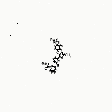 Cc1nc(Oc2ccc(NS(=O)(=O)C(C)C)c(F)c2F)c(-c2ccnc(N[C@@H]3CN(C(=O)OC(C)(C)C)CC(F)(F)C3)n2)s1